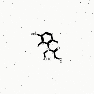 CCCCc1ccc(C)c(N(CC=O)C(=O)CCl)c1C